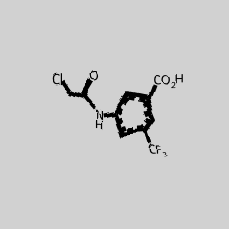 O=C(CCl)Nc1cc(C(=O)O)cc(C(F)(F)F)c1